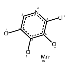 Clc1cnc(Cl)c(Cl)c1Cl.[Mn]